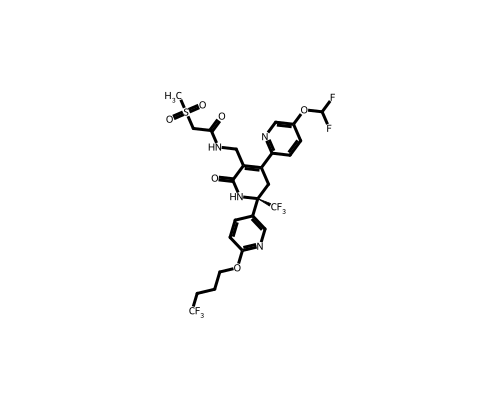 CS(=O)(=O)CC(=O)NCC1=C(c2ccc(OC(F)F)cn2)C[C@@](c2ccc(OCCCC(F)(F)F)nc2)(C(F)(F)F)NC1=O